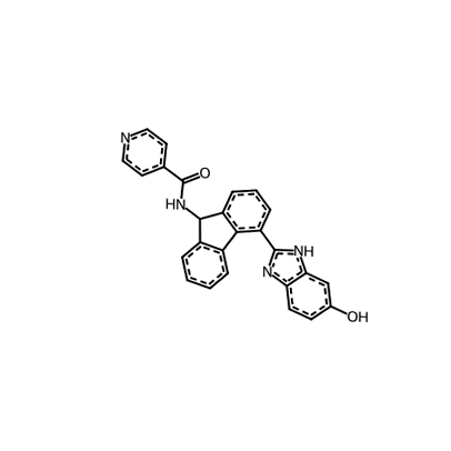 O=C(NC1c2ccccc2-c2c(-c3nc4ccc(O)cc4[nH]3)cccc21)c1ccncc1